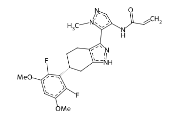 C=CC(=O)Nc1cnn(C)c1-c1n[nH]c2c1CC[C@@H](c1c(F)c(OC)cc(OC)c1F)C2